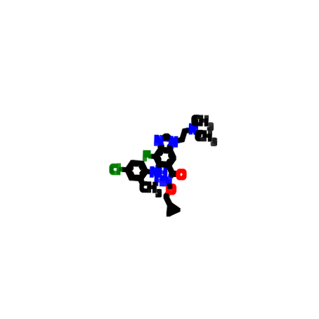 Cc1cc(Cl)ccc1Nc1c(C(=O)NOCC2CC2)cc2c(ncn2CCN(C)C)c1F